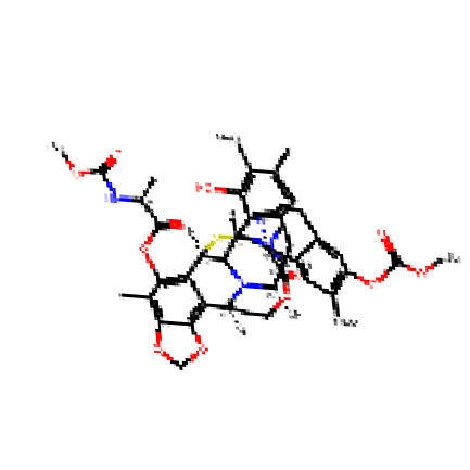 COc1cc2c(cc1OC(=O)OC(C)(C)C)CCN[C@]21CS[C@@H]2c3c(OC(=O)[C@H](C)NC(=O)OC(C)(C)C)c(C)c4c(c3[C@H](COC1=O)N1C2[C@@H]2c3c(cc(C)c(OC)c3O)C[C@@H]([C@@H]1C#N)N2C)OCO4